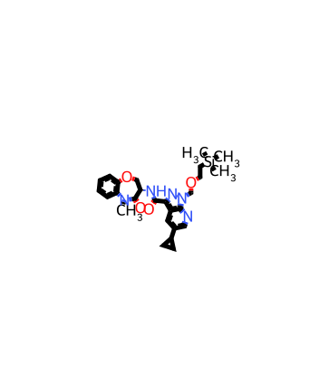 CN1C(=O)[C@@H](NC(=O)c2nn(COCC[Si](C)(C)C)c3ncc(C4CC4)cc23)COc2ccccc21